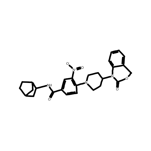 O=C(NC1CC2CCC1C2)c1ccc(N2CCC(N3C(=O)OCc4ccccc43)CC2)c([N+](=O)[O-])c1